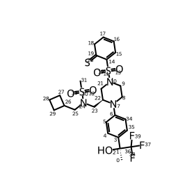 C[C@](O)(c1ccc(N2CCN(S(=O)(=O)C3=CC=CCC3=S)C[C@@H]2CN(CC2CCC2)S(C)(=O)=O)cc1)C(F)(F)F